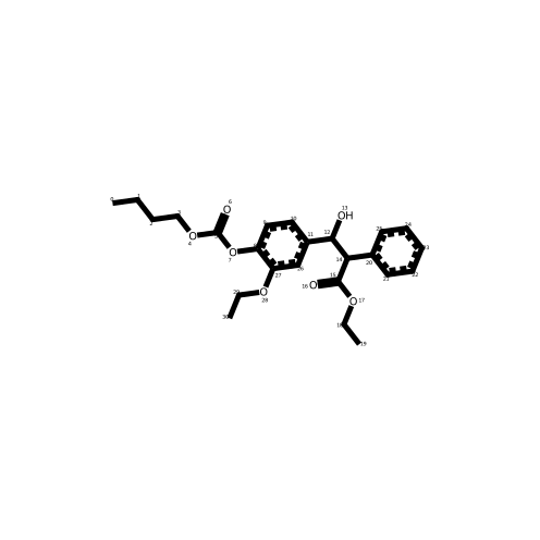 CCCCOC(=O)Oc1ccc(C(O)C(C(=O)OCC)c2ccccc2)cc1OCC